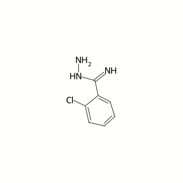 N=C(NN)c1ccccc1Cl